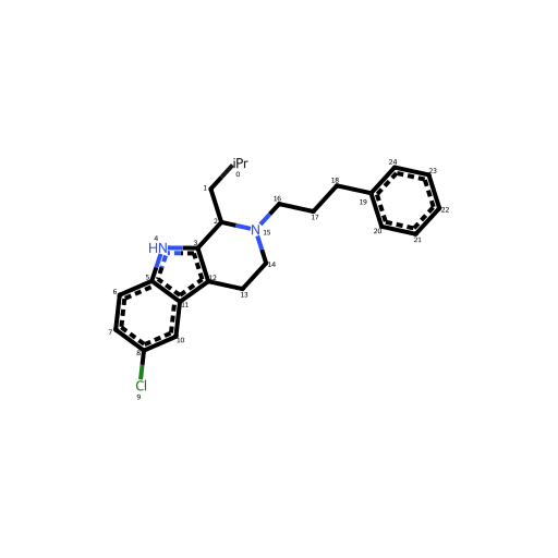 CC(C)CC1c2[nH]c3ccc(Cl)cc3c2CCN1CCCc1ccccc1